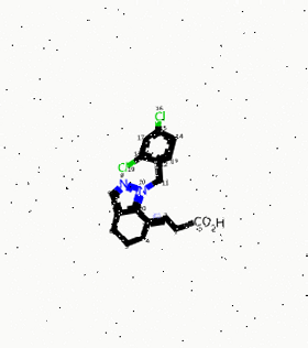 O=C(O)C/C=C1\CCCc2cnn(Cc3ccc(Cl)cc3Cl)c21